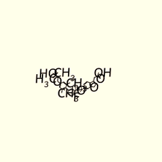 Cc1cc(OCC(C)(C)O)cc(C)c1-c1ccc(F)c2c1CC[C@H]2Oc1ccc2c(CC(=O)O)coc2c1